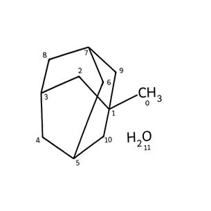 CC12CC3CC(CC(C3)C1)C2.O